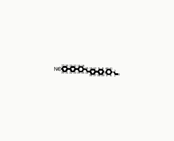 C=CC[C@H]1CC[C@H](c2ccc(-c3ccc(CCC4CCC(c5ccc(-c6ccc(C#N)cc6)cc5)CC4)cc3)cc2)CC1